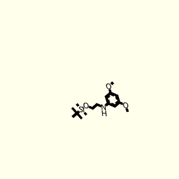 COc1cc(NCCO[Si](C)(C)C(C)(C)C)cc(OC)c1